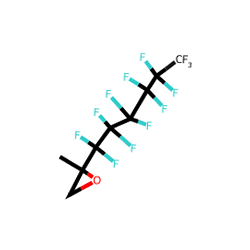 CC1(C(F)(F)C(F)(F)C(F)(F)C(F)(F)C(F)(F)C(F)(F)F)CO1